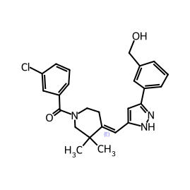 CC1(C)CN(C(=O)c2cccc(Cl)c2)CC/C1=C\c1cc(-c2cccc(CO)c2)n[nH]1